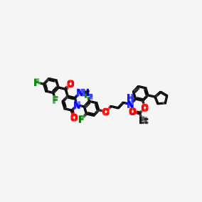 CCC(=O)Oc1c(NCCCOc2cc(F)c(-n3c(N)c(C(=O)c4ccc(F)cc4F)ccc3=O)c(F)c2)cccc1C1CCCC1